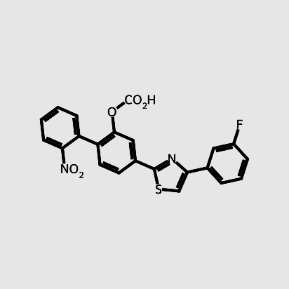 O=C(O)Oc1cc(-c2nc(-c3cccc(F)c3)cs2)ccc1-c1ccccc1[N+](=O)[O-]